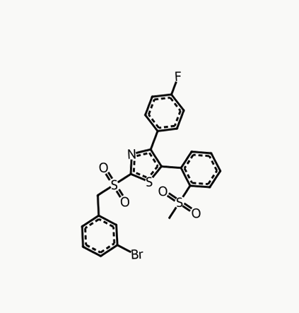 CS(=O)(=O)c1ccccc1-c1sc(S(=O)(=O)Cc2cccc(Br)c2)nc1-c1ccc(F)cc1